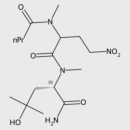 CCCC(=O)N(C)C(CC[N+](=O)[O-])C(=O)N(C)[C@@H](CC(C)(C)O)C(N)=O